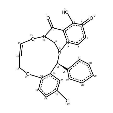 O=C1c2c(O)c(=O)ccn2N2CN1C/C=C\COc1ccc(Cl)cc1[C@@H]2c1ccccc1